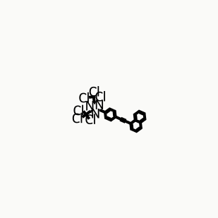 ClC(Cl)(Cl)c1nc(-c2ccc(C#Cc3cccc4ccccc34)cc2)nc(C(Cl)(Cl)Cl)n1